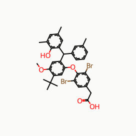 COc1cc(C(c2cccc(C)c2)c2cc(C)cc(C)c2O)c(Oc2c(Br)cc(CC(=O)O)cc2Br)cc1C(C)(C)C